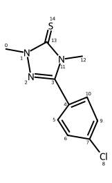 Cn1nc(-c2ccc(Cl)cc2)n(C)c1=S